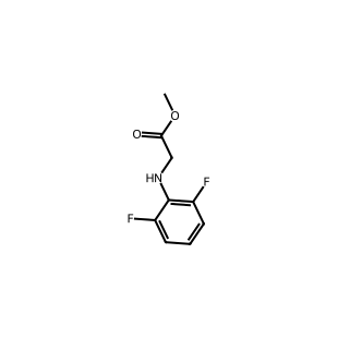 COC(=O)CNc1c(F)cccc1F